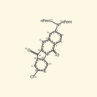 CCCCCN(CCCCC)c1ccc2c(=O)n3c(nc2c1)C(=O)c1cc(Cl)ccc1-3